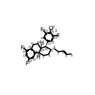 C/C=C/CC[C@@H]1CC[C@H]2c3cc(F)cc(F)c3CC[C@@H]2[C@H]1c1cc(F)c(C(F)(F)F)c(F)c1